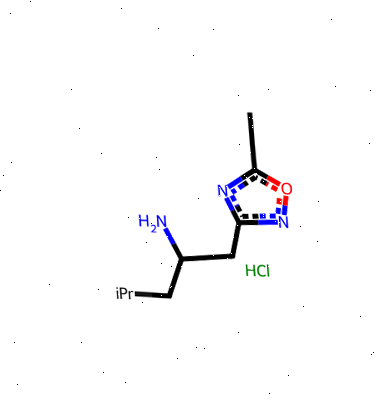 Cc1nc(CC(N)CC(C)C)no1.Cl